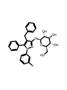 OC[C@H]1O[C@@H](Oc2nn(-c3cccc(F)c3)c(-c3ccccc3)c2Cc2ccccc2)[C@H](O)[C@@H](O)[C@@H]1O